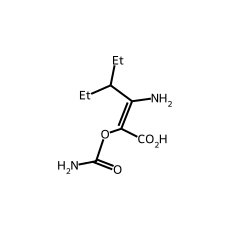 CCC(CC)C(N)=C(OC(N)=O)C(=O)O